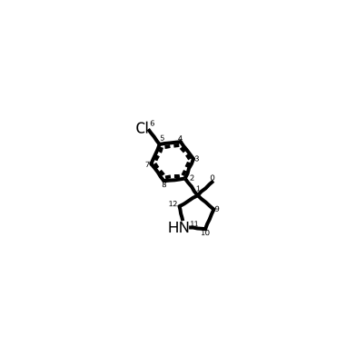 CC1(c2ccc(Cl)cc2)CCNC1